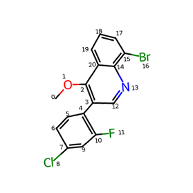 COc1c(-c2ccc(Cl)cc2F)cnc2c(Br)cccc12